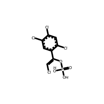 O=P(O)(O)OC(=CCl)c1cc(Cl)c(Cl)cc1Cl